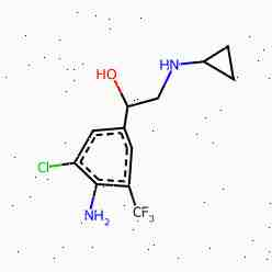 Nc1c(Cl)cc(C(O)CNC2CC2)cc1C(F)(F)F